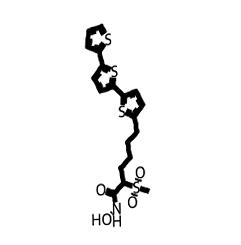 CS(=O)(=O)C(CCCCc1ccc(-c2ccc(-c3cccs3)s2)s1)C(=O)NO